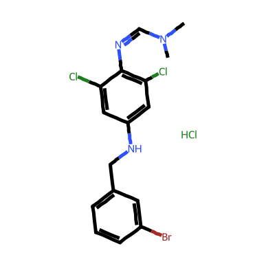 CN(C)/C=N\c1c(Cl)cc(NCc2cccc(Br)c2)cc1Cl.Cl